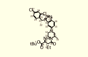 CC[C@H](C(=N)C(=O)OC(C)(C)C)C(=O)N1CCN(c2ccc3nnn([C@H](C)c4ccc(Cl)cc4Cl)c3c2)C[C@H]1C